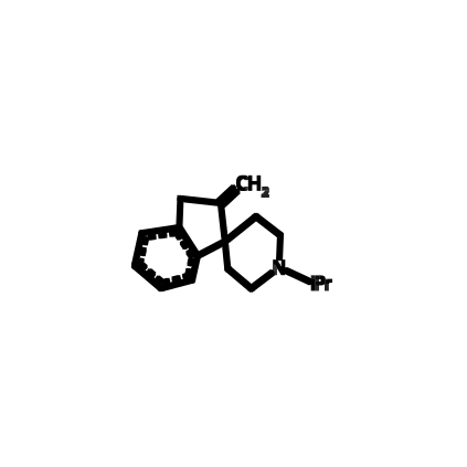 C=C1Cc2ccccc2C12CCN(C(C)C)CC2